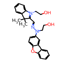 CC1(C)C(C=NN(CCO)c2ccc3oc4ccccc4c3c2)=[N+](CCO)c2ccccc21